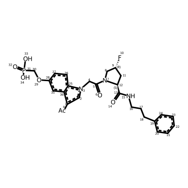 CC(=O)c1cn(CC(=O)N2C[C@H](F)C[C@H]2C(=O)NCCCc2ccccc2)c2ccc(OCP(=O)(O)O)cc12